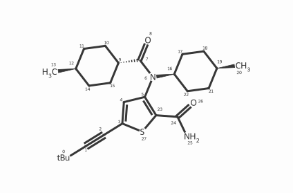 CC(C)(C)C#Cc1cc(N(C(=O)[C@H]2CC[C@H](C)CC2)[C@H]2CC[C@@H](C)CC2)c(C(N)=O)s1